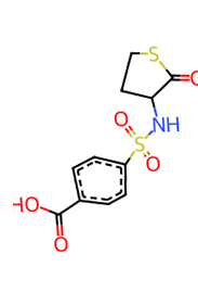 O=C(O)c1ccc(S(=O)(=O)NC2CCSC2=O)cc1